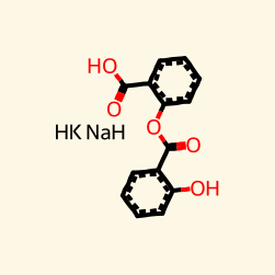 O=C(Oc1ccccc1C(=O)O)c1ccccc1O.[KH].[NaH]